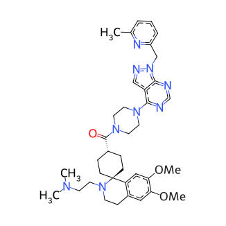 COc1cc2c(cc1OC)[C@]1(CC[C@@H](C(=O)N3CCN(c4ncnc5c4cnn5Cc4cccc(C)n4)CC3)CC1)N(CCN(C)C)CC2